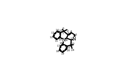 CC1(C)C2=CC=NC3C2N(c2ccccc21)c1ccccc1C3(C)C